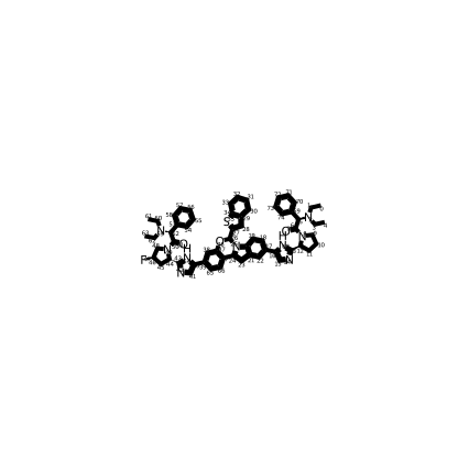 CCN(CC)[C@@H](C(=O)N1CCC[C@H]1c1ncc(-c2ccc3c(c2)cc2n3C(c3cc4ccccc4s3)Oc3cc(-c4cnc([C@@H]5C[C@@H](F)CN5C(=O)[C@@H](c5ccccc5)N(CC)CC)[nH]4)ccc3-2)[nH]1)c1ccccc1